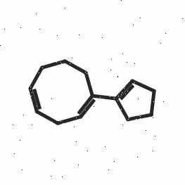 C1=CCCCC(C2=CCCC2)=CC1